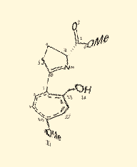 COC(=O)[C@H]1CSC(c2ccc(OC)cc2O)=N1